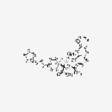 COc1ccc2ncc(N(C)C)c([C@@H](O)CCC3(CC(=O)O)CCN(CCSc4cccs4)CC3)c2c1